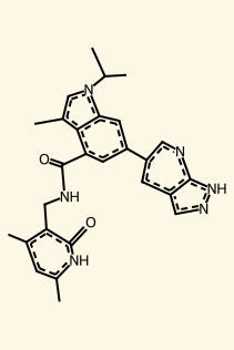 Cc1cc(C)c(CNC(=O)c2cc(-c3cnc4[nH]ncc4c3)cc3c2c(C)cn3C(C)C)c(=O)[nH]1